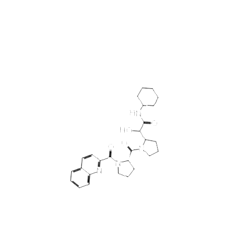 O=C(NC1CCCCC1)C(O)C1CCCN1C(=O)[C@H]1CCCN1C(=O)c1ccc2ccccc2n1